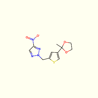 CC1(c2csc(Cn3ncc([N+](=O)[O-])n3)c2)OCCO1